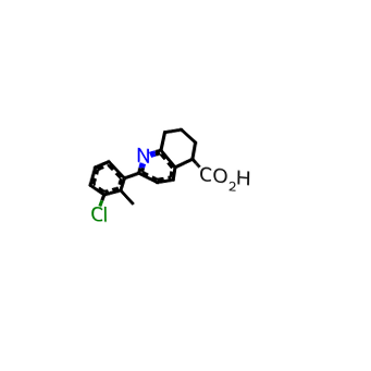 Cc1c(Cl)cccc1-c1ccc2c(n1)CCCC2C(=O)O